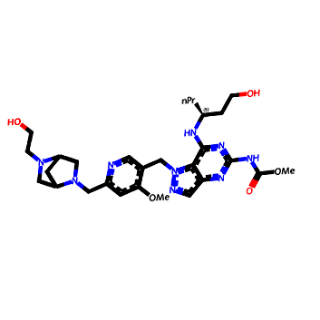 CCC[C@@H](CCO)Nc1nc(NC(=O)OC)nc2cnn(Cc3cnc(CN4CC5CC4CN5CCO)cc3OC)c12